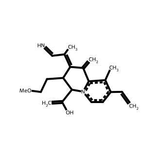 C=Cc1cc[n+]2c(c1C)C(=C)/C(=C(\C)C=N)C(CCOC)C2C(=C)O